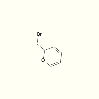 BrCC1C=CC=CO1